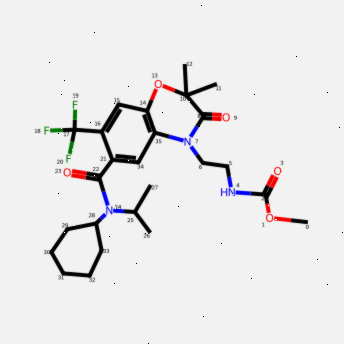 COC(=O)NCCN1C(=O)C(C)(C)Oc2cc(C(F)(F)F)c(C(=O)N(C(C)C)C3CCCCC3)cc21